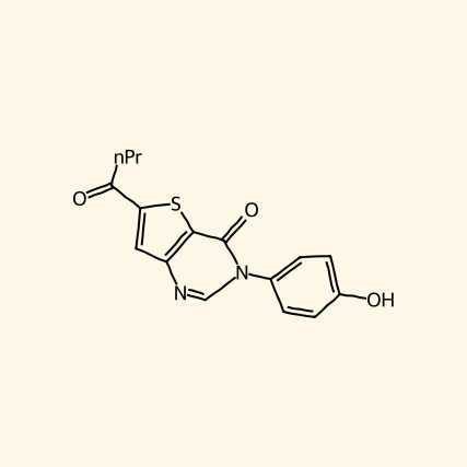 CCCC(=O)c1cc2ncn(-c3ccc(O)cc3)c(=O)c2s1